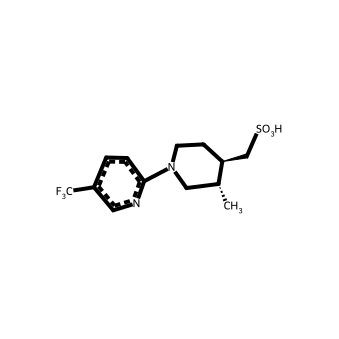 C[C@@H]1CN(c2ccc(C(F)(F)F)cn2)CC[C@H]1CS(=O)(=O)O